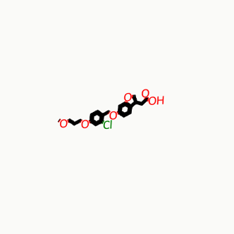 COCCCOc1ccc(COc2ccc3c(c2)OCC3CC(=O)O)c(Cl)c1